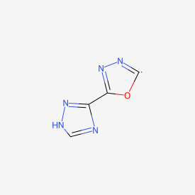 [c]1nnc(-c2nc[nH]n2)o1